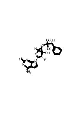 CCOC(=O)C(Cc1ccccc1)(OC1[C@H]2O[C@@H](n3ccc4c(N)nc(Cl)nc43)[C@@H](F)[C@@]12O)C(=O)OCC